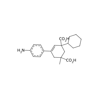 CC1(C(=O)O)CC(c2ccc(N)cc2)=CC(C(=O)O)(C2CCCCC2)C1